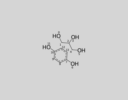 OCC(O)CO.Oc1ccc(O)cc1